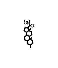 CON(C)C(=O)C1CCC2C3CCC4CC(C)CCC4(C)C3CCC12C